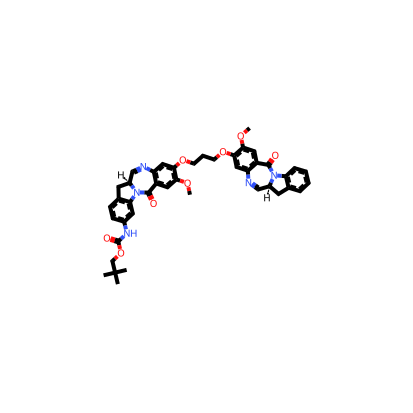 COc1cc2c(cc1OCCCOc1cc3c(cc1OC)C(=O)N1c4cc(NC(=O)OCC(C)(C)C)ccc4C[C@H]1C=N3)N=C[C@@H]1Cc3ccccc3N1C2=O